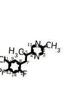 Cc1cnc(C(C)Cc2cc(Cl)c(C(C)C)cc2F)cn1